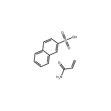 C=CC(N)=O.O=S(=O)(O)c1ccc2ccccc2c1